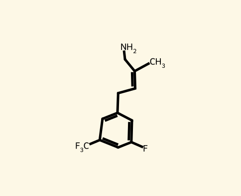 C/C(=C/Cc1cc(F)cc(C(F)(F)F)c1)CN